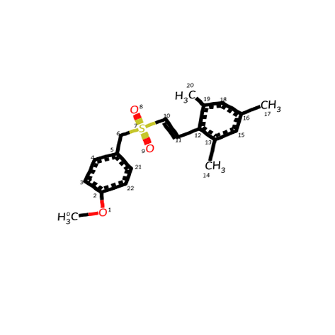 COc1ccc(CS(=O)(=O)C=Cc2c(C)cc(C)cc2C)cc1